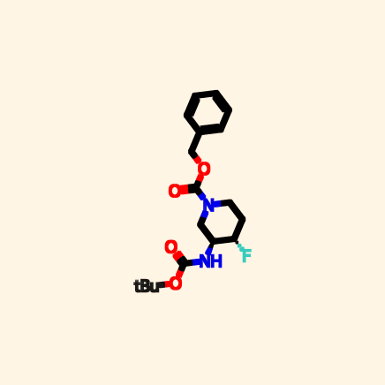 CC(C)(C)OC(=O)N[C@H]1CN(C(=O)OCc2ccccc2)CC[C@@H]1F